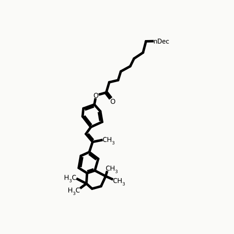 CCCCCCCCCCCCCCCCCC(=O)Oc1ccc(C=C(C)c2ccc3c(c2)C(C)(C)CCC3(C)C)cc1